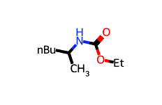 CCCCC(C)NC(=O)OCC